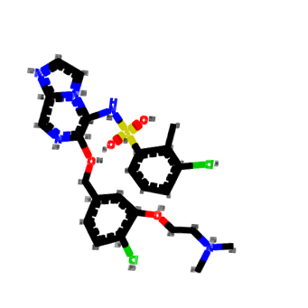 Cc1c(Cl)cccc1S(=O)(=O)Nc1c(OCc2ccc(Cl)c(OCCN(C)C)c2)ncc2nccn12